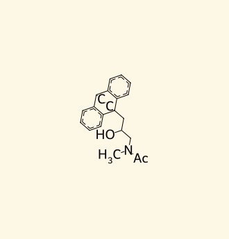 CC(=O)N(C)CC(O)CC12CCC(c3ccccc31)c1ccccc12